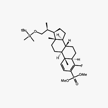 COP(=O)(OC)C1=C(F)[C@@H]2CC[C@@H]3[C@H](CC[C@]4(C)[C@@H]([C@H](C)CO[Si](C)(C)C(C)(C)C)CC[C@@H]34)[C@@]2(C)C=C1